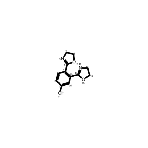 Oc1ccc(C2=NCCO2)c(C2=NCCO2)c1